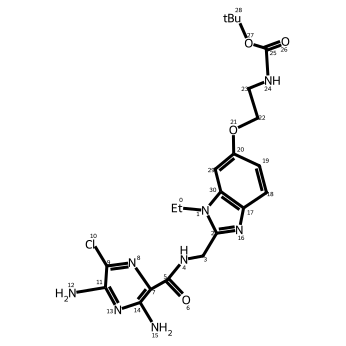 CCn1c(CNC(=O)c2nc(Cl)c(N)nc2N)nc2ccc(OCCNC(=O)OC(C)(C)C)cc21